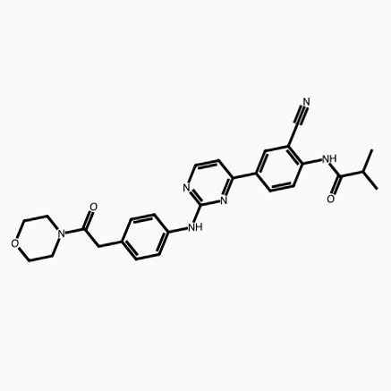 CC(C)C(=O)Nc1ccc(-c2ccnc(Nc3ccc(CC(=O)N4CCOCC4)cc3)n2)cc1C#N